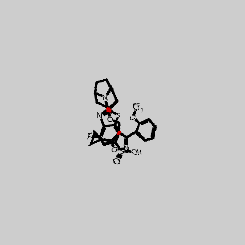 O=S(O)c1cc(F)c2nc(N3C4CCC3CC(OCc3c(-c5ccccc5OC(F)(F)F)noc3C3CC3)C4)sc2c1